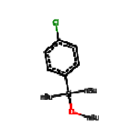 CCCCO[Si](CCCC)(CCCC)c1ccc(Cl)cc1